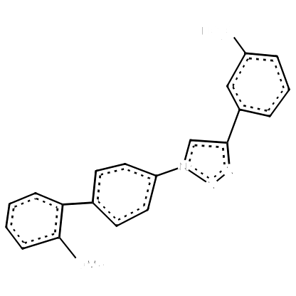 COc1ccccc1-c1ccc(-n2cc(-c3cccc(C(=O)O)c3)nn2)cc1